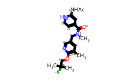 CC(=O)NC1=CC(C(=O)N(C)Cc2cnc(OCC(C)(C)F)c(C)c2)=CCN1